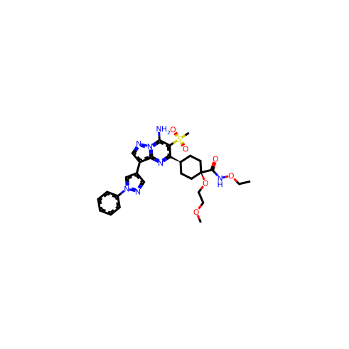 CCONC(=O)[C@]1(OCCOC)CC[C@@H](c2nc3c(-c4cnn(-c5ccccc5)c4)cnn3c(N)c2S(C)(=O)=O)CC1